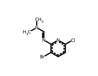 CN(C)C=Nc1nc(Cl)ccc1Br